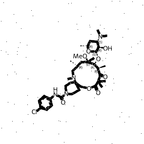 CO[C@]1(C)C[C@@H](C)CN(C)C2(CCN(C(=O)Nc3ccc(Cl)cc3)CC2)COC(=O)C(C)(C)C(=O)[C@H](C)[C@H]1O[C@@H]1O[C@H](C)C[C@H](N(C)C)[C@H]1O